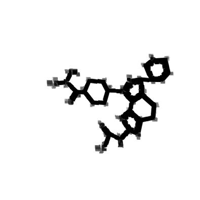 CC(=O)Nc1nc2c(s1)-c1c(c(-c3cccnc3)nn1C1CCC(C(=O)N(C)C)CC1)CC2